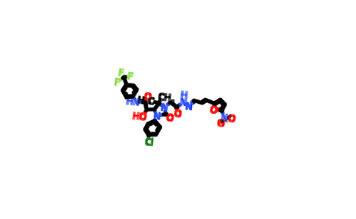 CC1(C)C(C(O)C(=O)Nc2ccc(C(F)(F)F)cc2)N(c2ccc(Cl)cc2)C(=O)N1CC(=O)N/N=C/C=C/c1ccc([N+](=O)[O-])o1